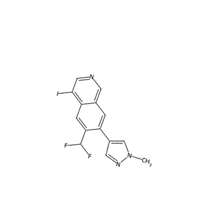 Cn1cc(-c2cc3cncc(I)c3cc2C(F)F)cn1